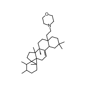 CC1CCC2(C)C3(CCC4(C)C23CC=C2C3CC(C)(C)CCC3(CCN3CCOCC3)CC[C@]24C)C1C